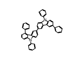 c1ccc(-c2ccc3c(c2)c2cc(-c4ccc5c(c4)c4c(-c6ccccc6)cccc4n5-c4ccccc4)ccc2n3-c2ccccc2)cc1